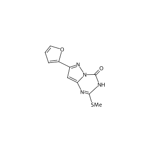 CSc1nc2cc(-c3ccco3)nn2c(=O)[nH]1